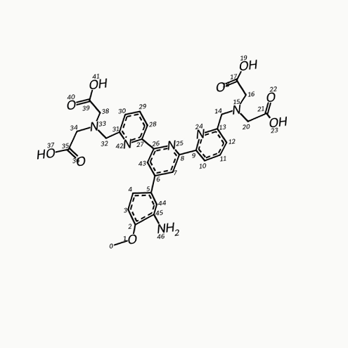 COc1ccc(-c2cc(-c3cccc(CN(CC(=O)O)CC(=O)O)n3)nc(-c3cccc(CN(CC(=O)O)CC(=O)O)n3)c2)cc1N